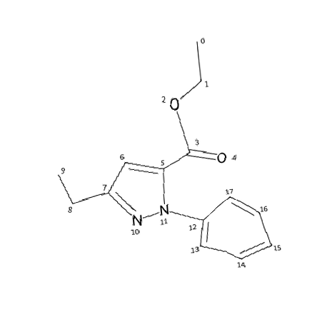 CCOC(=O)c1cc(CC)nn1-c1ccccc1